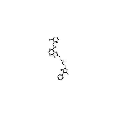 Cc1nc(CCNCCc2nc3c(NCc4ncccc4F)ncnc3s2)[nH]c1-c1ccccc1